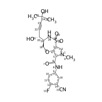 Cn1cc2c(c1C(=O)Nc1ccc(F)c(C#N)c1)OC[C@@H]([C@H](O)C#CC(C)(C)O)NS2(=O)=O